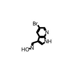 ON=Cc1c[nH]c2ncc(Br)cc12